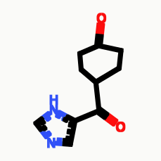 O=C1CCC(C(=O)c2cnc[nH]2)CC1